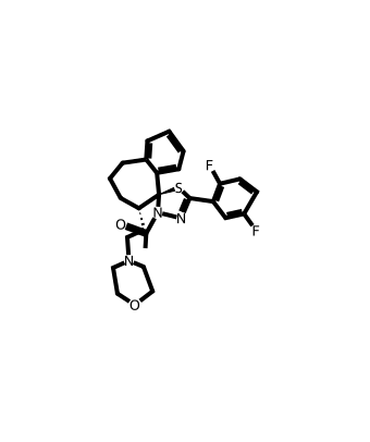 CC(=O)N1N=C(c2cc(F)ccc2F)S[C@@]12c1ccccc1CCC[C@H]2CCN1CCOCC1